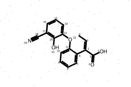 C/C=C(/C(=O)O)c1ccccc1Oc1cccc(C#N)c1O